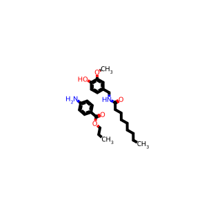 CCCCCCCCC(=O)NCc1ccc(O)c(OC)c1.CCCOC(=O)c1ccc(N)cc1